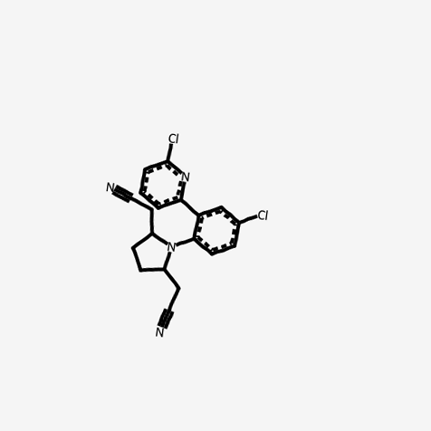 N#CCC1CCC(CC#N)N1c1ccc(Cl)cc1-c1cccc(Cl)n1